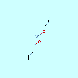 CCCC[O][Sn][O]CCC